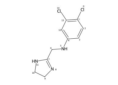 Clc1ccc(NCC2=NCCN2)cc1Cl